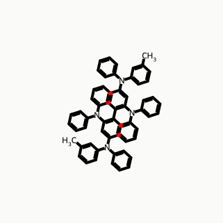 Cc1cccc(N(c2ccccc2)c2ccc(-c3ccc(N(c4ccccc4)c4cccc(C)c4)cc3N(c3ccccc3)c3ccccc3)c(N(c3ccccc3)c3ccccc3)c2)c1